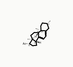 CC(=O)[C@H]1CC[C@H]2C3=CC=C4C[C@@H](C)CC[C@]4(C)[C@H]3CC[C@]12C